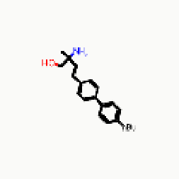 CCCCc1ccc(-c2ccc(CCC(C)(N)CO)cc2)cc1